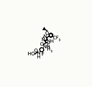 Cc1[nH]c2c(-c3cc(C(F)(F)F)ccc3OCC3CC3)ncnc2c1C(=O)N[C@H]1CC[C@@H](NC(=O)CO)[C@H](F)C1